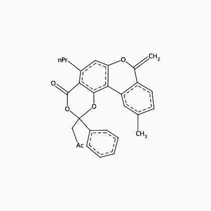 C=C1Oc2cc(CCC)c3c(c2-c2cc(C)ccc21)OC(CC(C)=O)(c1ccccc1)OC3=O